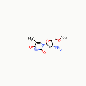 CCCCOC[C@H]1O[C@@H](n2cc(C)c(=O)[nH]c2=O)CC1N